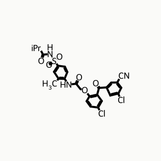 Cc1cc(S(=O)(=O)NC(=O)C(C)C)ccc1NC(=O)COc1ccc(Cl)cc1C(=O)c1cc(Cl)cc(C#N)c1